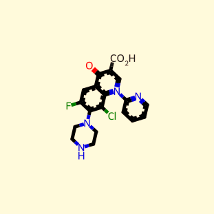 O=C(O)c1cn(-c2ccccn2)c2c(Cl)c(N3CCNCC3)c(F)cc2c1=O